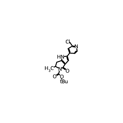 CC1Cc2[nH]c(-c3ccnc(Cl)c3)cc2C(=O)N1C(=O)OC(C)(C)C